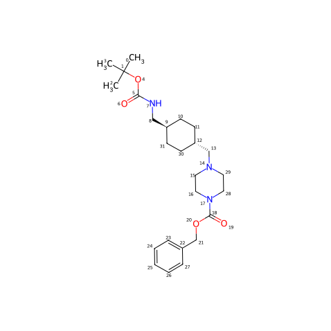 CC(C)(C)OC(=O)NC[C@H]1CC[C@H](CN2CCN(C(=O)OCc3ccccc3)CC2)CC1